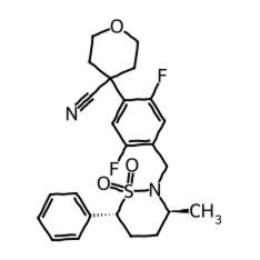 C[C@H]1CC[C@H](c2ccccc2)S(=O)(=O)N1Cc1cc(F)c(C2(C#N)CCOCC2)cc1F